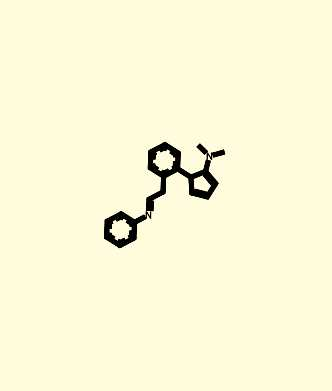 CN(C)C1=CC=CC1c1ccccc1CC=Nc1ccccc1